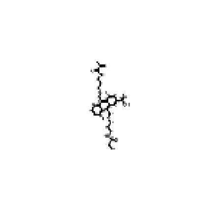 C=C(C)C(=O)NCCCNCc1c2ccccc2c(CNCCCNC(=O)CC)c2cc(C(=O)O)ccc12